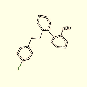 CCCCc1ccccc1-c1ccccc1C=Cc1ccc(F)cc1